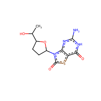 CC(O)C1CCC(n2c(=O)sc3c(=O)[nH]c(N)nc32)O1